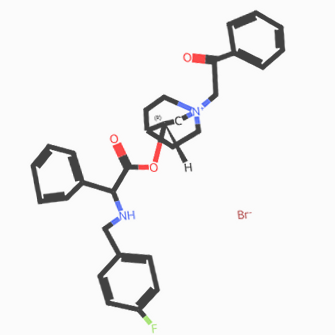 O=C(C[N+]12CCC(CC1)[C@@H](OC(=O)C(NCc1ccc(F)cc1)c1ccccc1)C2)c1ccccc1.[Br-]